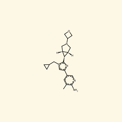 Cc1cc(-c2cn(CC3CC3)c([C@H]3[C@@H]4CN(C5COC5)C[C@@H]43)n2)cnc1N